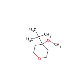 COC1(C(C)(C)C)CCOCC1